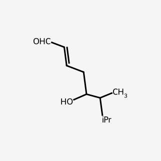 CC(C)C(C)C(O)CC=CC=O